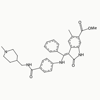 COC(=O)c1cc2c(cc1C)/C(=C(/Nc1ccc(C(=O)NCC3CCN(C)CC3)cc1)c1ccccc1)C(=O)N2